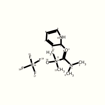 CN(C)C(=[O+]C1C=CC=CN1)[N+](C)(C)[O-].F[B-](F)(F)F